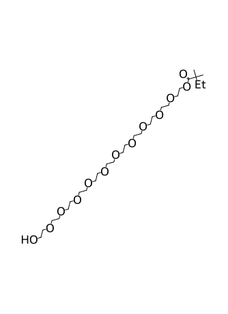 CCC(C)(C)C(=O)OCCOCCOCCOCCOCCOCCOCCOCCOCCOCCOCCO